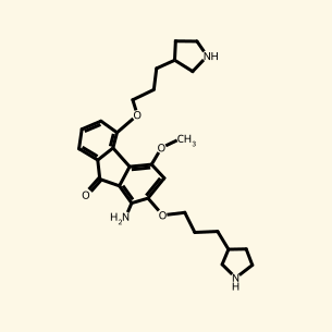 COc1cc(OCCCC2CCNC2)c(N)c2c1-c1c(OCCCC3CCNC3)cccc1C2=O